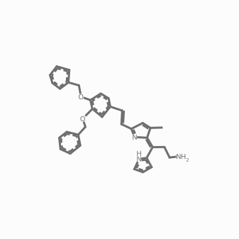 CC1=CC(/C=C/c2ccc(OCc3ccccc3)c(OCc3ccccc3)c2)=NC/1=C(/CCN)c1ccc[nH]1